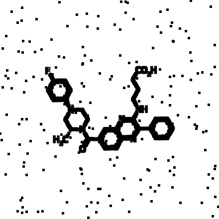 C[C@@H]1CN(c2ccc(F)cc2)CCN1C(=O)c1ccc2nc(-c3ccccc3)c(NCCCC(=O)O)nc2c1